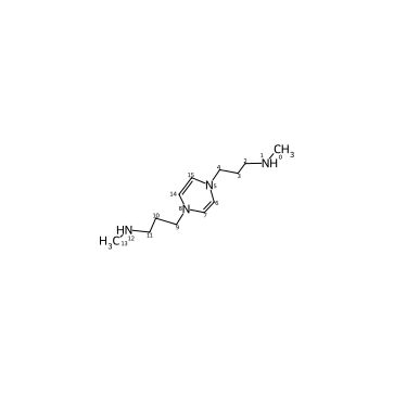 CNCCCN1C=CN(CCCNC)C=C1